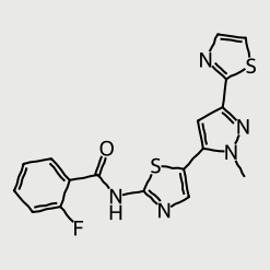 Cn1nc(-c2nccs2)cc1-c1cnc(NC(=O)c2ccccc2F)s1